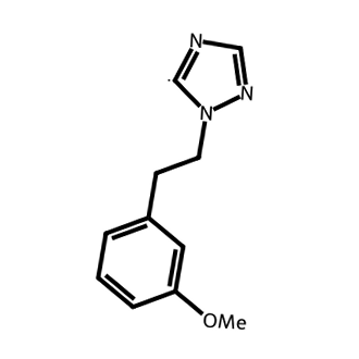 COc1cccc(CCn2[c]ncn2)c1